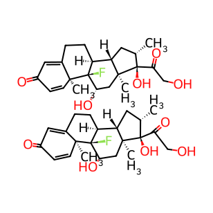 C[C@H]1C[C@H]2[C@@H]3CCC4=CC(=O)C=C[C@]4(C)[C@@]3(F)[C@@H](O)C[C@]2(C)[C@@]1(O)C(=O)CO.C[C@H]1C[C@H]2[C@@H]3CCC4=CC(=O)C=C[C@]4(C)[C@@]3(F)[C@@H](O)C[C@]2(C)[C@@]1(O)C(=O)CO